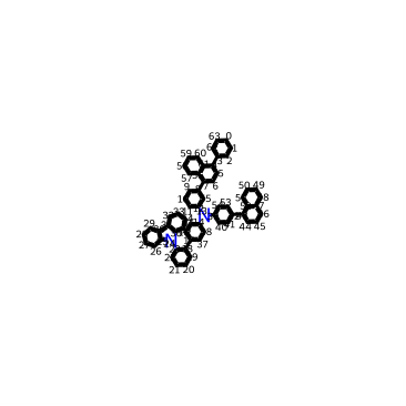 c1ccc(-c2ccc(-c3cccc(N(c4ccc(-c5ccccc5-n5c6ccccc6c6ccccc65)cc4)c4ccc(-c5cccc6ccccc56)cc4)c3)c3ccccc23)cc1